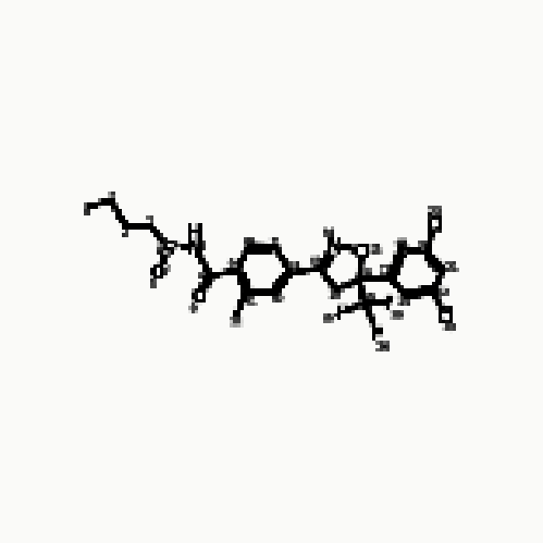 CCCC[S+]([O-])NC(=O)c1ccc(C2=NOC(c3cc(Cl)cc(Cl)c3)(C(F)(F)F)C2)cc1C